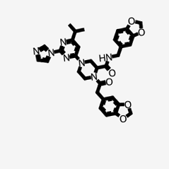 CC(C)c1cc(N2CCN(C(=O)Cc3ccc4c(c3)OCO4)C(C(=O)NCc3ccc4c(c3)OCO4)C2)nc(-n2ccnc2)n1